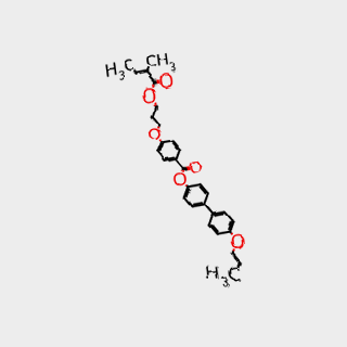 CCCOc1ccc(-c2ccc(OC(=O)c3ccc(OCCCOC(=O)C(C)CC)cc3)cc2)cc1